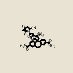 C[C@@H](CC1(c2nnnn2C)c2ccc(C(N)=O)cc2CCc2cc(C(N)=O)ccc21)NCC(=O)N1[C@H](C#N)C[C@@H]2C[C@@H]21